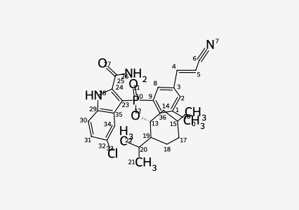 Cc1cc(/C=C/C#N)cc(P(=O)(O[C@@H]2CC(C)CCC2C(C)C)c2c(C(N)=O)[nH]c3ccc(Cl)cc23)c1